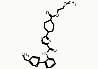 CCc1ccc(-c2ccccc2NC(=O)c2csc(C3CCC(C(=O)OCCOC)CC3)n2)cc1